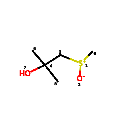 C[S+]([O-])CC(C)(C)O